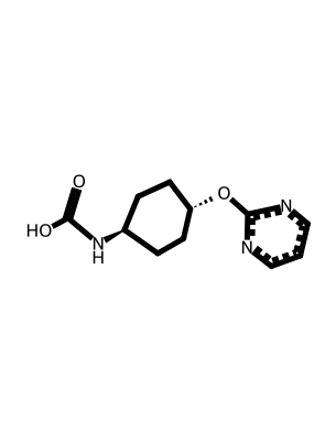 O=C(O)N[C@H]1CC[C@H](Oc2ncccn2)CC1